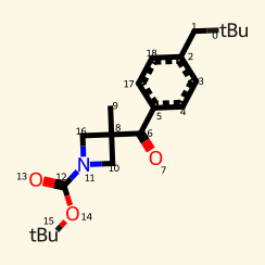 CC(C)(C)Cc1ccc(C(=O)C2(C)CN(C(=O)OC(C)(C)C)C2)cc1